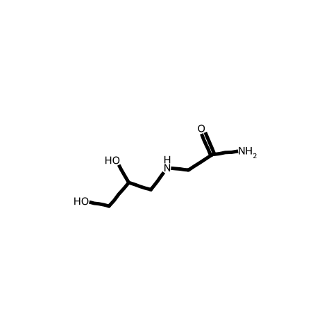 NC(=O)CNCC(O)CO